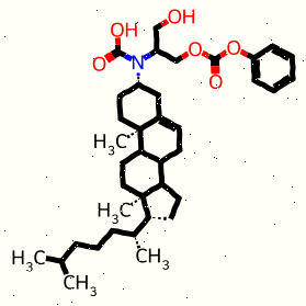 CC(C)CCC[C@@H](C)[C@H]1CCC2C3CC=C4C[C@@H](N(C(=O)O)C(CO)COC(=O)Oc5ccccc5)CC[C@]4(C)C3CC[C@@]21C